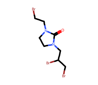 O=C1N(CCBr)CCN1CC(Br)CBr